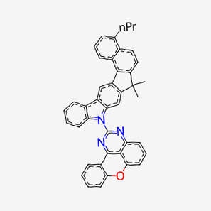 CCCc1cccc2c3c(ccc12)C(C)(C)c1cc2c(cc1-3)c1ccccc1n2-c1nc2c3c(cccc3n1)Oc1ccccc1-2